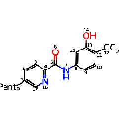 CCCCCc1ccc(C(=O)Nc2ccc(C(=O)O)c(O)c2)nc1